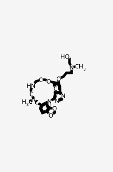 CN(CCO)CCCOc1cc2ncnc3c2cc1OCCCNCCN(C)Cc1ccc2c(c1N3)OCO2